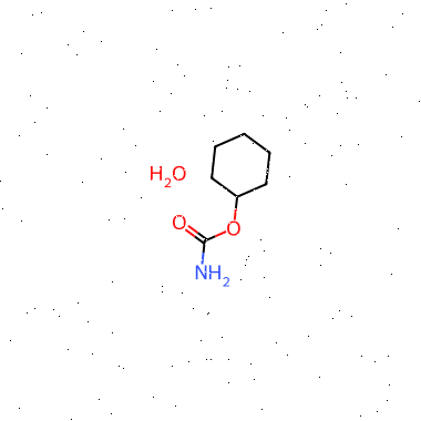 NC(=O)OC1CCCCC1.O